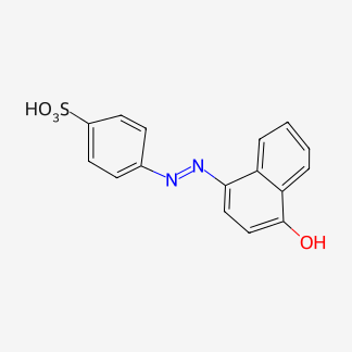 O=S(=O)(O)c1ccc(/N=N/c2ccc(O)c3ccccc23)cc1